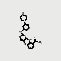 NC(=O)c1ccccc1Nc1nc(Nc2cccc(N3CCNCC3)c2)ncc1Cl